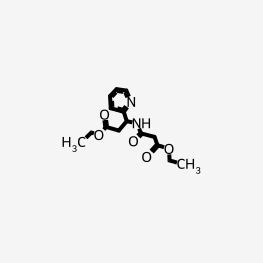 CCOC(=O)CC(=O)NC(CC(=O)OCC)c1ccccn1